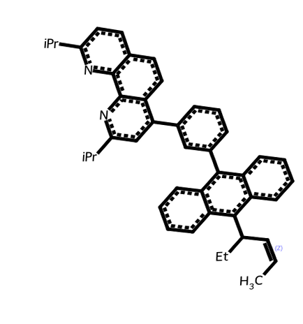 C/C=C\C(CC)c1c2ccccc2c(-c2cccc(-c3cc(C(C)C)nc4c3ccc3ccc(C(C)C)nc34)c2)c2ccccc12